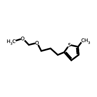 COCOCCCc1ccc(C)s1